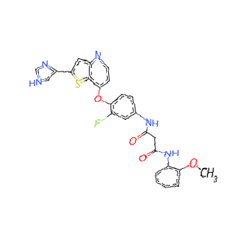 COc1ccccc1NC(=O)CC(=O)Nc1ccc(Oc2ccnc3cc(-c4c[nH]cn4)sc23)c(F)c1